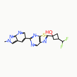 Cn1cc2cc(-c3ncc4nc(C5(O)CC(C(F)F)C5)sc4n3)cnc2n1